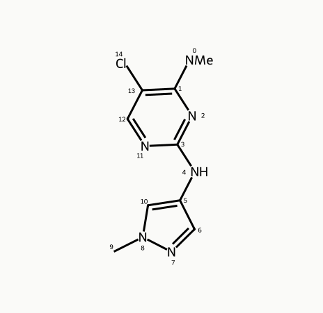 CNc1nc(Nc2cnn(C)c2)ncc1Cl